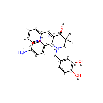 CC1(C)CN(Cc2ccc(O)c(O)c2)C(c2ccc(N)cc2)/C(=C\c2ccccn2)C1=O